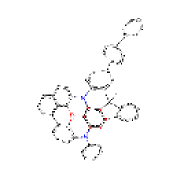 CC1(C)c2ccccc2-c2cccc(N(c3ccc(-c4ccc(-c5ccccc5)cc4)cc3)c3ccc4cccc5c4c3Oc3c-5cccc3N(c3ccccc3)c3ccccc3)c21